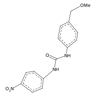 COCc1ccc(NC(=O)Nc2ccc([N+](=O)[O-])cc2)cc1